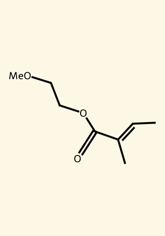 CC=C(C)C(=O)OCCOC